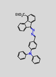 CCOC(=O)c1cccc2c1-c1ccccc1C2=NN=Cc1ccc(N(c2ccccc2)c2ccccc2)cc1